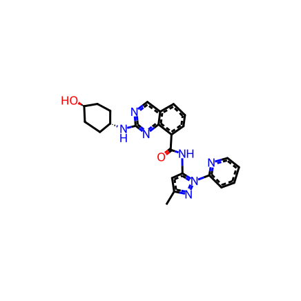 Cc1cc(NC(=O)c2cccc3cnc(N[C@H]4CC[C@H](O)CC4)nc23)n(-c2ccccn2)n1